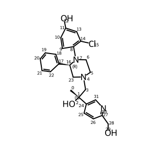 C[C@@](O)(CN1CCN(c2ccc(O)cc2Cl)[C@H](c2ccccc2)C1)c1ccc(CO)nc1